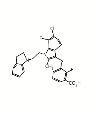 Cc1c(Sc2cccc(C(=O)O)c2F)c2ccc(Cl)c(F)c2n1CCN1CCc2ccccc21